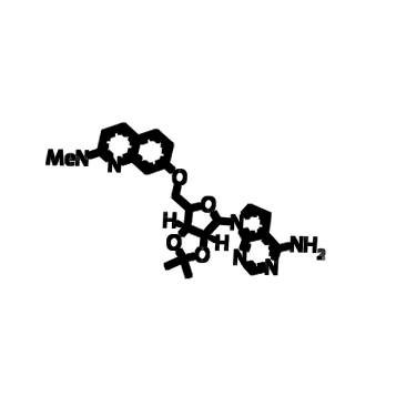 CNc1ccc2ccc(OCC3OC(n4ccc5c(N)ncnc54)[C@@H]4OC(C)(C)O[C@H]34)cc2n1